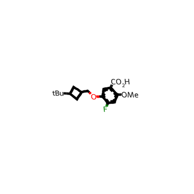 COc1cc(F)c(OCC2CC(C(C)(C)C)C2)cc1C(=O)O